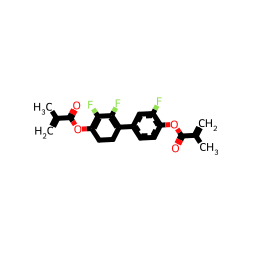 C=C(C)C(=O)OC1=C(F)C(F)=C(c2ccc(OC(=O)C(=C)C)c(F)c2)CC1